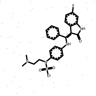 CCS(=O)(=O)N(CCN(C)C)c1ccc(N/C(=C2\C(=O)Nc3cc(F)ccc32)c2ccccc2)cc1